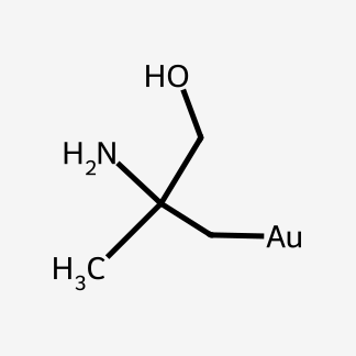 CC(N)(CO)[CH2][Au]